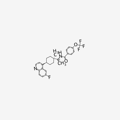 C[C@H](NC(=O)c1ccc(OC(F)(F)F)cc1)[C@]1(C)CC[C@H](c2ccnc3ccc(F)cc32)CC1